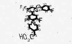 O=C(O)CC1CCN(c2c(F)cc(-c3nc(Oc4ccc(F)cc4)cc(C(F)(F)F)n3)cc2F)CC1